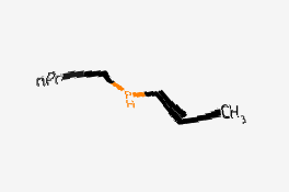 CC=CPCCCC